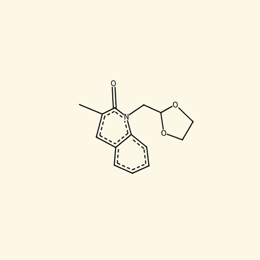 Cc1cc2ccccc2n(CC2OCCO2)c1=O